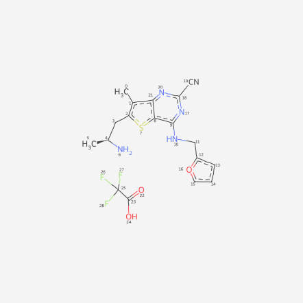 Cc1c(C[C@H](C)N)sc2c(NCc3ccco3)nc(C#N)nc12.O=C(O)C(F)(F)F